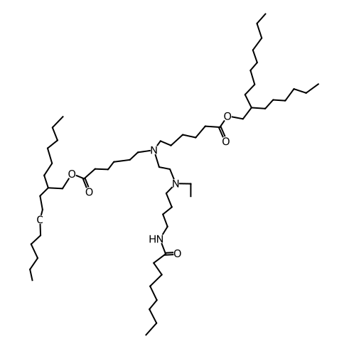 CCCCCCCCC(CCCCCC)COC(=O)CCCCCN(CCCCCC(=O)OCC(CCCCCC)CCCCCCCC)CCN(CC)CCCCNC(=O)CCCCCCC